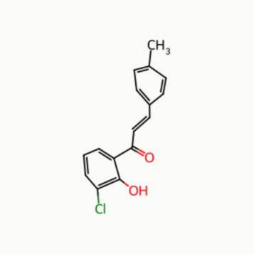 Cc1ccc(/C=C/C(=O)c2cccc(Cl)c2O)cc1